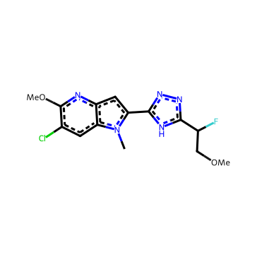 COCC(F)c1nnc(-c2cc3nc(OC)c(Cl)cc3n2C)[nH]1